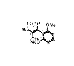 CCCCC(O)=C(C(=O)OCC)c1c(OC)cccc1OC